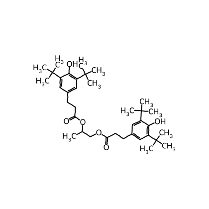 CC(COC(=O)CCc1cc(C(C)(C)C)c(O)c(C(C)(C)C)c1)OC(=O)CCc1cc(C(C)(C)C)c(O)c(C(C)(C)C)c1